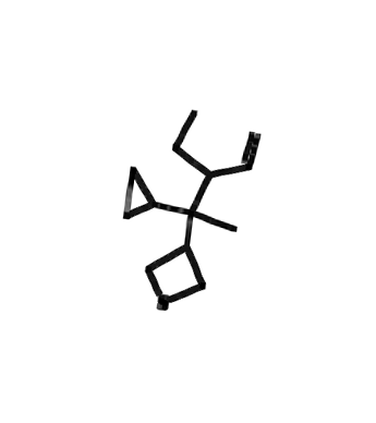 C=CC(CC)C(C)(C1CC1)C1CSC1